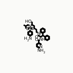 CC(C)CN(C(CO)CCCCNC(=O)C(NC(=O)c1ccc(N)nc1)C(c1ccccc1)c1ccccc1)S(=O)(=O)c1ccc(N)cc1